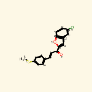 CSc1ccc(/C=C/C(=O)c2cc3cc(Cl)ccc3o2)cc1